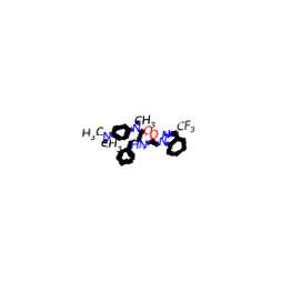 CN(C)c1ccc(N(C)C(=O)[C@H](Cc2ccccc2)NC(=O)Cn2nc(C(F)(F)F)c3c2CCCC3)cc1